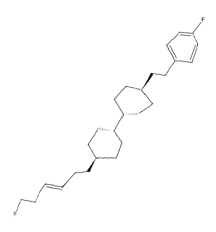 FCCC=CCC[C@H]1CC[C@H]([C@H]2CC[C@H](CCc3ccc(F)cc3)CC2)CC1